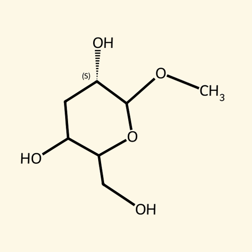 COC1OC(CO)C(O)C[C@@H]1O